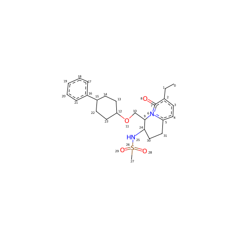 CCc1ccc2n(c1=O)C(COC1CCC(c3ccccc3)CC1)C(NS(C)(=O)=O)CC2